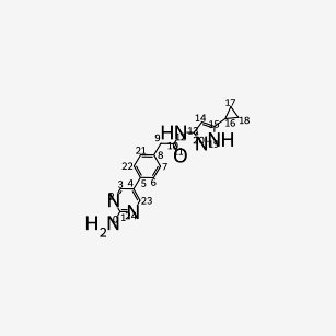 Nc1ncc(-c2ccc(CC(=O)Nc3cc(C4CC4)[nH]n3)cc2)cn1